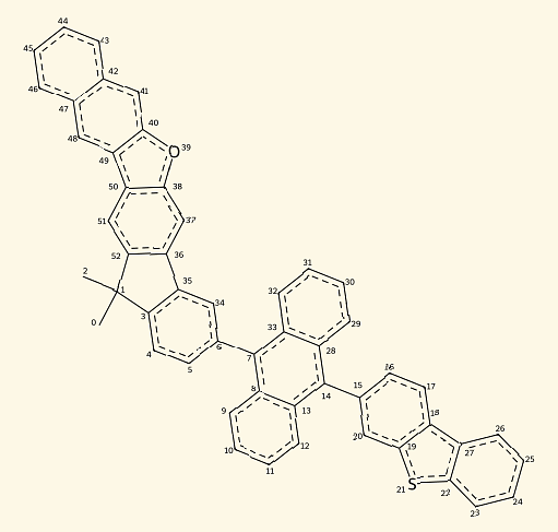 CC1(C)c2ccc(-c3c4ccccc4c(-c4ccc5c(c4)sc4ccccc45)c4ccccc34)cc2-c2cc3oc4cc5ccccc5cc4c3cc21